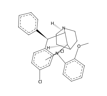 COc1ccccc1N(C)[C@@H]1C2CCN(CC2)[C@@H]1[C@H](c1ccccc1)c1ccc(Cl)cc1Cl